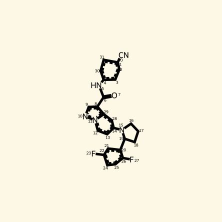 N#Cc1ccc(NC(=O)c2cnn3ccc(N4CCCC4c4cc(F)ccc4F)cc23)cc1